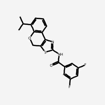 CC(C)c1cccc2c1OCc1sc(NC(=O)c3[c]c(F)cc(F)c3)nc1-2